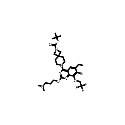 CCc1cc2c(N3CCC4(CC3)CN(C(=O)OC(C)(C)C)C4)nc(OCCCN(C)C)nc2c(OCC(F)(F)F)c1Br